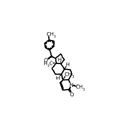 Cc1ccc(C(=O)C2CC[C@H]3[C@@H]4CCC5N(C)C(=O)C=C[C@]5(C)[C@@H]4CC[C@]23C)cc1